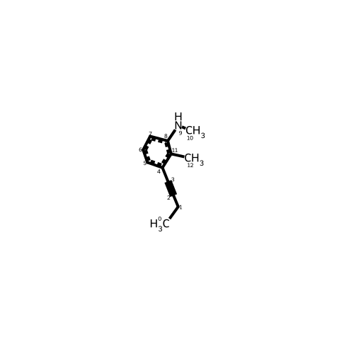 CCC#Cc1cccc(NC)c1C